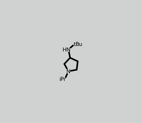 CC(C)N1CCC(NC(C)(C)C)C1